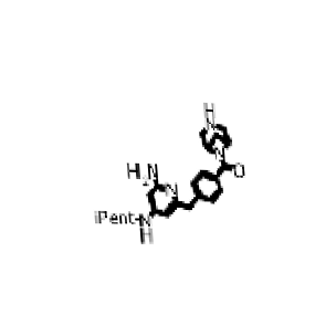 CCC[C@@H](C)Nc1cc(N)nc(Cc2ccc(C(=O)N3C4CNCC3C4)cc2)c1